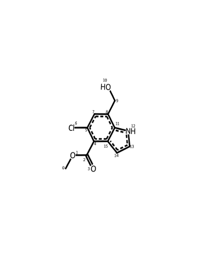 COC(=O)c1c(Cl)cc(CO)c2[nH]ccc12